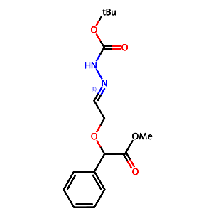 COC(=O)C(OC/C=N/NC(=O)OC(C)(C)C)c1ccccc1